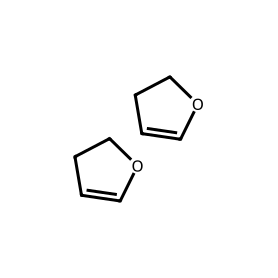 C1=COCC1.C1=COCC1